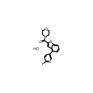 Cl.O=C(c1cc2c(-c3ccc(F)nc3)cccc2s1)N1CCOCC1